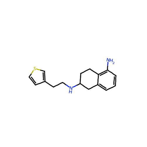 Nc1cccc2c1CCC(NCCc1ccsc1)C2